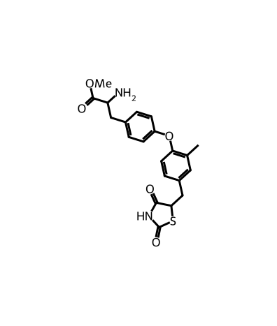 COC(=O)C(N)Cc1ccc(Oc2ccc(CC3SC(=O)NC3=O)cc2C)cc1